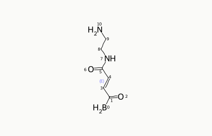 BC(=O)/C=C/C(=O)NCCN